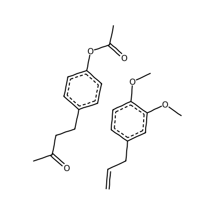 C=CCc1ccc(OC)c(OC)c1.CC(=O)CCc1ccc(OC(C)=O)cc1